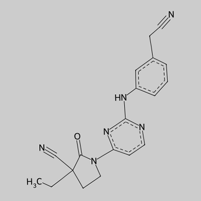 CCC1(C#N)CCN(c2ccnc(Nc3cccc(CC#N)c3)n2)C1=O